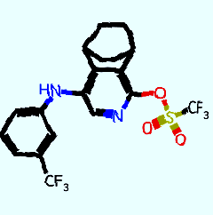 O=S(=O)(Oc1ncc(Nc2cccc(C(F)(F)F)c2)c2c1C1CCC2CC1)C(F)(F)F